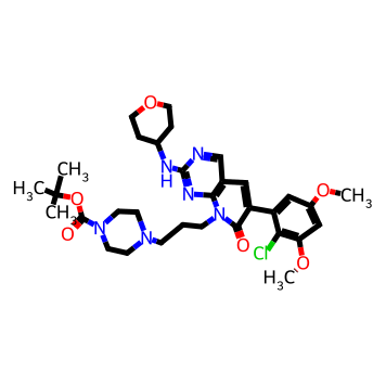 COc1cc(OC)c(Cl)c(-c2cc3cnc(NC4CCOCC4)nc3n(CCCN3CCN(C(=O)OC(C)(C)C)CC3)c2=O)c1